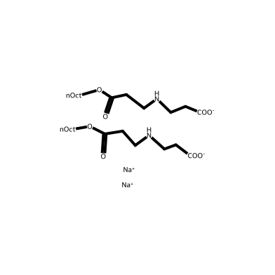 CCCCCCCCOC(=O)CCNCCC(=O)[O-].CCCCCCCCOC(=O)CCNCCC(=O)[O-].[Na+].[Na+]